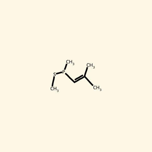 CSP(C)C=C(C)C